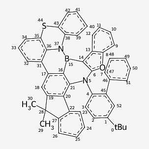 CC(C)(C)c1ccc(N2c3oc4ccccc4c3B3c4c(cc5c(c42)-c2ccccc2C5(C)C)-c2cccc4c2N3c2ccccc2S4)c(-c2ccccc2)c1